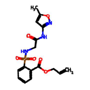 C=CCOC(=O)c1ccccc1S(=O)(=O)NCC(=O)Nc1cc(C)on1